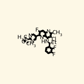 CC[C@@H](Nc1c(Cl)c(C)nc2cc(F)c(-c3cnc(P(C)(C)=O)nc3)nc12)c1cccc(F)c1F